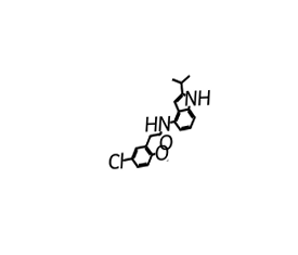 COc1ccc(Cl)cc1CC(=O)Nc1cccc2[nH]c(C(C)C)cc12